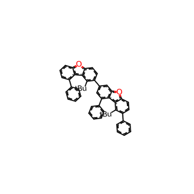 CC(C)(C)c1c(-c2cc(-c3ccccc3)c3c(c2)oc2ccc(-c4ccccc4)c(C(C)(C)C)c23)ccc2oc3cccc(-c4ccccc4)c3c12